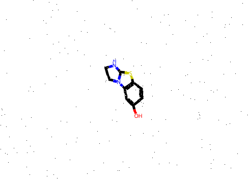 Oc1ccc2c(c1)N1CCNC1S2